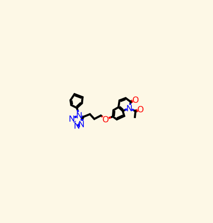 CC(=O)n1c(=O)ccc2cc(OCCCc3nnnn3-c3ccccc3)ccc21